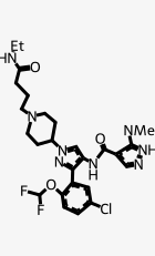 CCNC(=O)CCCN1CCC(n2cc(NC(=O)c3cn[nH]c3NC)c(-c3cc(Cl)ccc3OC(F)F)n2)CC1